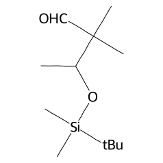 CC(O[Si](C)(C)C(C)(C)C)C(C)(C)C=O